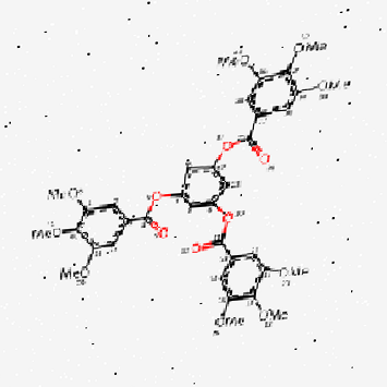 COc1cc(C(=O)Oc2cc(OC(=O)c3cc(OC)c(OC)c(OC)c3)cc(OC(=O)c3cc(OC)c(OC)c(OC)c3)c2)cc(OC)c1OC